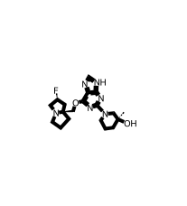 C[C@]1(O)CCCN(c2nc(OC[C@@]34CCCN3C[C@H](F)C4)c3nc[nH]c3n2)C1